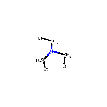 CC[SiH2]N([SiH2]CC)[SiH2]CC